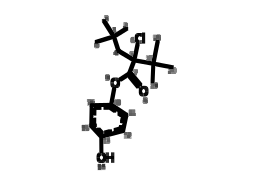 CC(C)(C)CC(Cl)(C(=O)Oc1ccc(O)cc1)C(C)(C)C